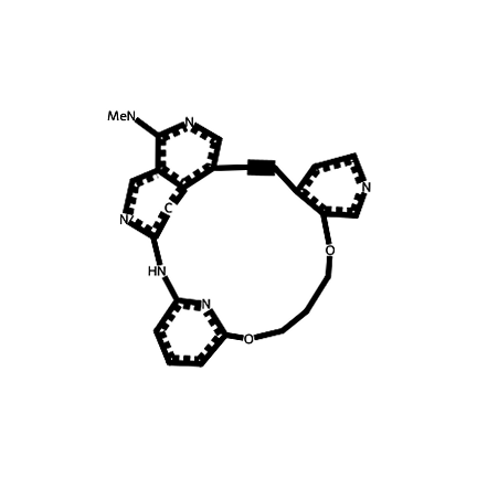 CNc1ncc2c3cc(ncc13)Nc1cccc(n1)OCCCOc1cnccc1C#C2